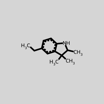 CCc1ccc2c(c1)C(C)(C)C(C)N2